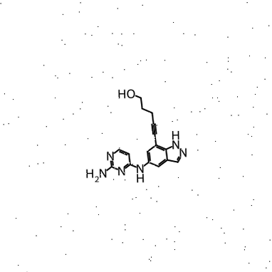 Nc1nccc(Nc2cc(C#CCCCO)c3[nH]ncc3c2)n1